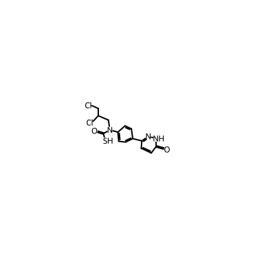 O=C(S)N(CC(Cl)CCl)c1ccc(-c2ccc(=O)[nH]n2)cc1